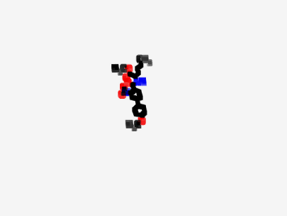 CCCC[C@@H](NC(=O)c1ccc(-c2ccc(OC)cc2)cc1[N+](=O)[O-])C(=O)OC